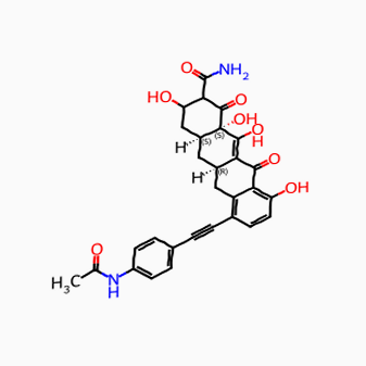 CC(=O)Nc1ccc(C#Cc2ccc(O)c3c2C[C@H]2C[C@H]4CC(O)C(C(N)=O)C(=O)[C@@]4(O)C(O)=C2C3=O)cc1